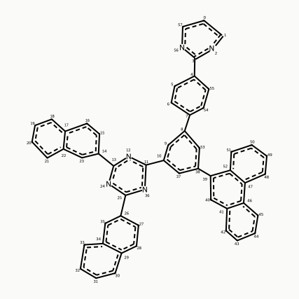 c1cnc(-c2ccc(-c3cc(-c4nc(-c5ccc6ccccc6c5)nc(-c5ccc6ccccc6c5)n4)cc(-c4cc5ccccc5c5ccccc45)c3)cc2)nc1